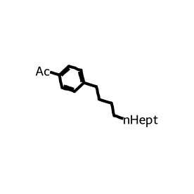 CCCCCCCCCCCc1ccc(C(C)=O)cc1